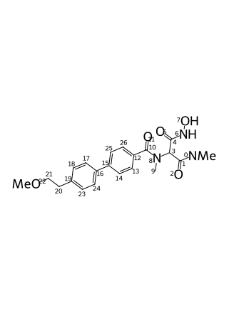 CNC(=O)C(C(=O)NO)N(C)C(=O)c1ccc(-c2ccc(CCOC)cc2)cc1